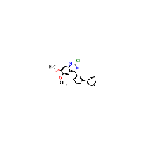 COc1cc2nc(Cl)nc(-c3cccc(-c4ccccc4)c3)c2cc1OC